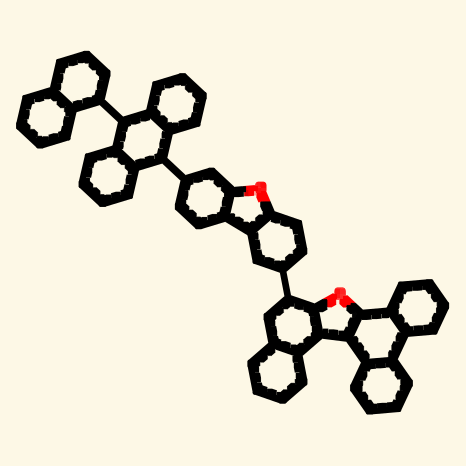 c1ccc2c(-c3c4ccccc4c(-c4ccc5c(c4)oc4ccc(-c6cc7ccccc7c7c6oc6c8ccccc8c8ccccc8c67)cc45)c4ccccc34)cccc2c1